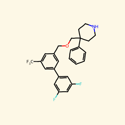 Fc1cc(F)cc(-c2cc(COCC3(c4ccccc4)CCNCC3)cc(C(F)(F)F)c2)c1